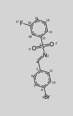 O=S(=O)(/N=C/c1ccc(Br)cc1)c1cccc(F)c1